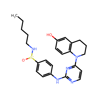 CCCCCN[S+]([O-])c1ccc(Nc2nccc(N3CCCc4cc(O)ccc43)n2)cc1